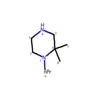 CCCN1CCNCC1(C)C